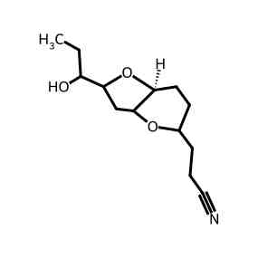 CCC(O)C1CC2OC(CCC#N)CC[C@@H]2O1